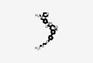 CCOCCOCc1ccc(-c2ccc3c(c2)C=C(C(=O)Nc2ccc(CN(C)C4CCOCC4)cc2)CCS3(=O)=O)cc1